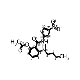 CCCCNc1cccc(OC(C)=O)c1C(=O)Nc1ncc([N+](=O)[O-])s1